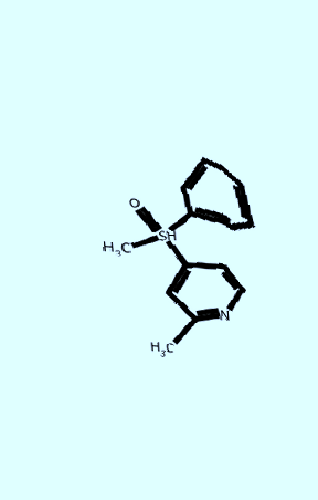 Cc1cc([SH](C)(=O)c2ccccc2)ccn1